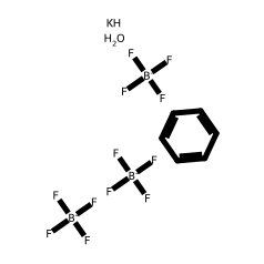 F[B-](F)(F)F.F[B-](F)(F)F.F[B-](F)(F)F.O.[KH].c1ccccc1